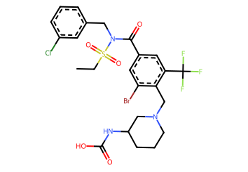 CCS(=O)(=O)N(Cc1cccc(Cl)c1)C(=O)c1cc(Br)c(CN2CCCC(NC(=O)O)C2)c(C(F)(F)F)c1